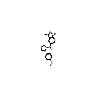 COc1ccc([C@@H]2CCCN2C(=O)c2cnc3[nH]nc(C)c3c2)cc1